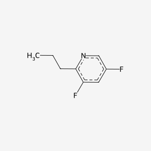 CCCc1ncc(F)cc1F